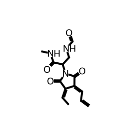 C=C/C=C1/C(=O)N(C(CNC=O)C(=O)NC)C(=O)/C1=C/C